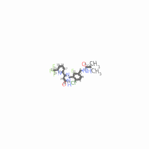 CC(C)C(=O)NCc1ccc(Cl)c(-c2nc(-c3cccc(C(F)(F)F)n3)cc(=O)[nH]2)c1F